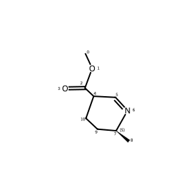 COC(=O)C1C=N[C@@H](C)CC1